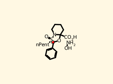 CCCCCS(=O)(=O)N1CCCCC1(OCc1ccccc1)C(=O)O.NO